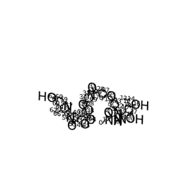 CCNC(=O)c1nnc(-c2cc(C(C)C)c(O)cc2O)n1-c1ccc(Oc2ccc(C(=O)N3CCC(OC(=O)CC4(CC)C(=O)OCc5c4cc4n(c5=O)Cc5c-4nc4ccc(O)cc4c5CC)CC3)cc2)cc1